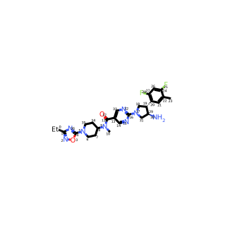 CCc1noc(N2CCC(N(C)C(=O)c3cnc(N4C[C@H](c5cc(C)c(F)cc5F)[C@@H](N)C4)nc3)CC2)n1